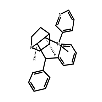 CN(c1cccnc1)[C@@H]1C2CCN(CC2)[C@@H]1C(c1ccccc1)c1ccccc1